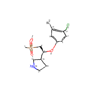 CS(=O)(=O)C[C@@H](Oc1ccc(Cl)c(C#N)c1)C1CCNC1